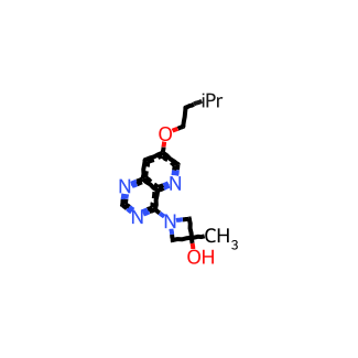 CC(C)CCOc1cnc2c(N3CC(C)(O)C3)ncnc2c1